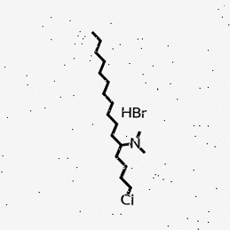 Br.CCCCCCCCCCCC(CCCCCl)N(C)C